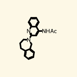 CC(=O)Nc1cc(N2CCCc3ccccc3C2)nc2ccccc12